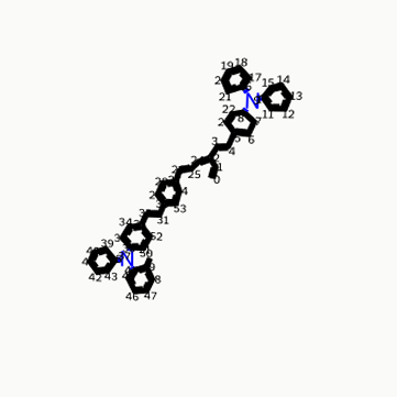 C=CC(/C=C/C1=CCC(N(c2ccccc2)c2ccccc2)C=C1)=C\C=C\c1ccc(/C=C/c2ccc(N(c3ccccc3)c3ccccc3C)cc2)cc1